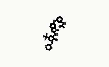 CC(=O)Nc1cc(Oc2ccc3nc(Nc4cc(C(F)(F)F)cn(C[C@H]5COCCO5)c4=O)n(C)c3c2)ccn1